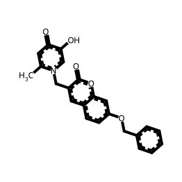 Cc1cc(=O)c(O)cn1Cc1cc2ccc(OCc3ccccc3)cc2oc1=O